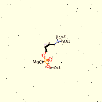 CCCCCCCCOP(=O)(OC)OC/C=C\CN(CCCCCCCC)CCCCCCCC